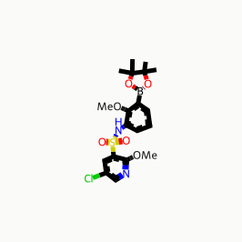 COc1ncc(Cl)cc1S(=O)(=O)Nc1cccc(B2OC(C)(C)C(C)(C)O2)c1OC